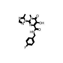 Cc1ncnn1-c1nc(C(=O)NCc2ccc(F)cc2)c(O)c(=O)n1C